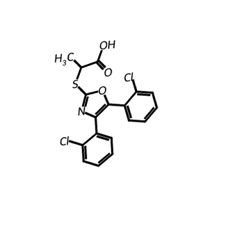 CC(Sc1nc(-c2ccccc2Cl)c(-c2ccccc2Cl)o1)C(=O)O